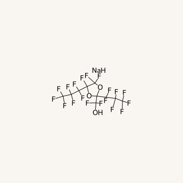 OC(F)(F)C1(C(F)(F)C(F)(F)C(F)(F)F)OC(F)(F)C(F)(C(F)(F)C(F)(F)C(F)(F)F)O1.[NaH]